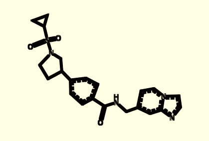 O=C(NCc1ccn2ccnc2c1)c1ccc(C2CCN(S(=O)(=O)C3CC3)C2)cc1